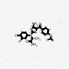 C[C@H](C(N)=O)N(c1ccc(Cl)c(F)c1)c1nc(N)c(C(=O)c2ccc(OC(F)F)cc2)s1